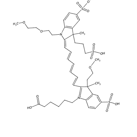 COCCOCCN1/C(=C/C=C/C=C/C=C/C2=[N+](CCCCCC(=O)O)c3ccc(S(=O)(=O)O)cc3C2(C)CCOC)C(C)(CCCS(=O)(=O)O)c2cc(S(=O)(=O)[O-])ccc21